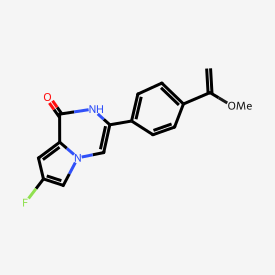 C=C(OC)c1ccc(-c2cn3cc(F)cc3c(=O)[nH]2)cc1